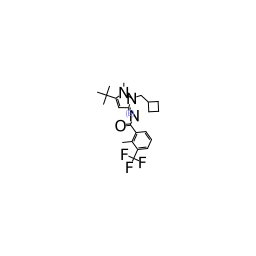 Cc1c(C(=O)/N=c2\cc(C(C)(C)C)n(C)n2CC2CCC2)cccc1C(F)(F)F